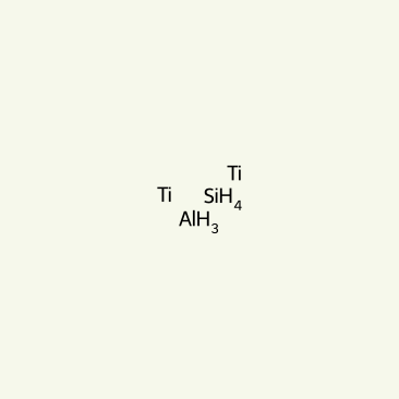 [AlH3].[SiH4].[Ti].[Ti]